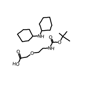 C1CCC(NC2CCCCC2)CC1.CC(C)(C)OC(=O)NCCOCC(=O)O